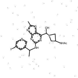 CC(=O)NC1CN(C(O)c2nc(NC(C)c3cncc(F)c3)nc3nc(C)sc23)C1